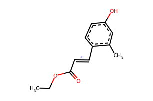 CCOC(=O)/C=C/c1ccc(O)cc1C